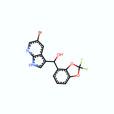 OC(c1cccc2c1OC(F)(F)O2)c1c[nH]c2ncc(Br)cc12